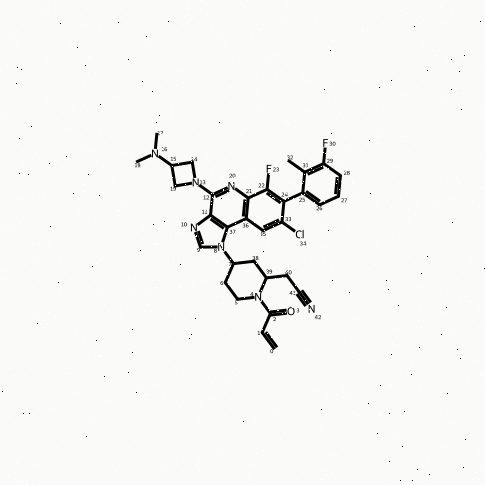 C=CC(=O)N1CCC(n2cnc3c(N4CC(N(C)C)C4)nc4c(F)c(-c5cccc(F)c5C)c(Cl)cc4c32)CC1CC#N